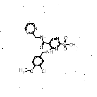 COc1ccc(CNc2nc(S(C)(=O)=O)ncc2C(=O)NCc2ncccn2)cc1Cl